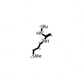 C=C(NCCCSC)NC(C)(C)C